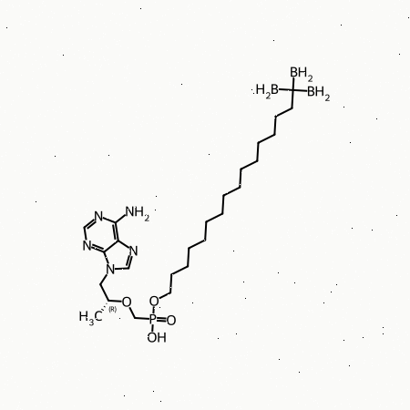 BC(B)(B)CCCCCCCCCCCCCCCOP(=O)(O)CO[C@H](C)Cn1cnc2c(N)ncnc21